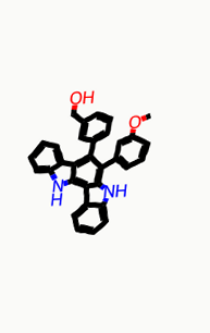 COc1cccc(-c2c(-c3cccc(CO)c3)c3c4ccccc4[nH]c3c3c2[nH]c2ccccc23)c1